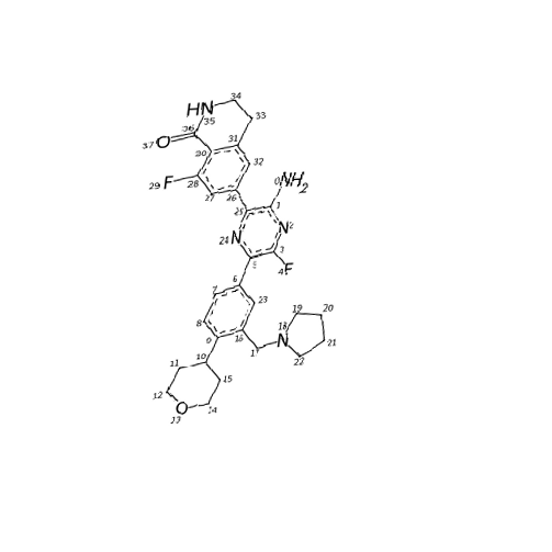 Nc1nc(F)c(-c2ccc(C3CCOCC3)c(CN3CCCC3)c2)nc1-c1cc(F)c2c(c1)CCNC2=O